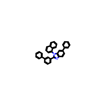 c1ccc(-c2cccc(-c3nc4ccc(-c5ccccc5)cc4n3-c3cccc4ccccc34)c2)cc1